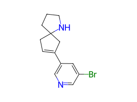 Brc1cncc(C2=CCC3(CCCN3)C2)c1